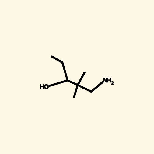 CCC(O)C(C)(C)CN